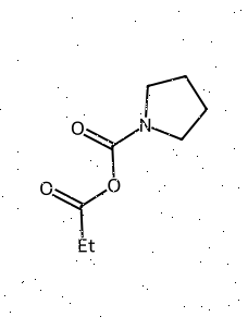 CCC(=O)OC(=O)N1CCCC1